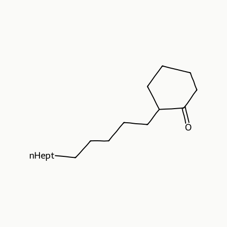 CCCCCCCCCCCCC1CCCCC1=O